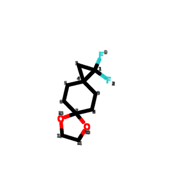 FC1(F)CC12CCC1(CC2)OCCO1